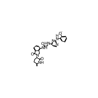 C=C1CCC(N2Cc3c(NC(=O)CNc4ccnc(Nc5ccccc5OC)n4)cccc3C2=O)C(=O)N1